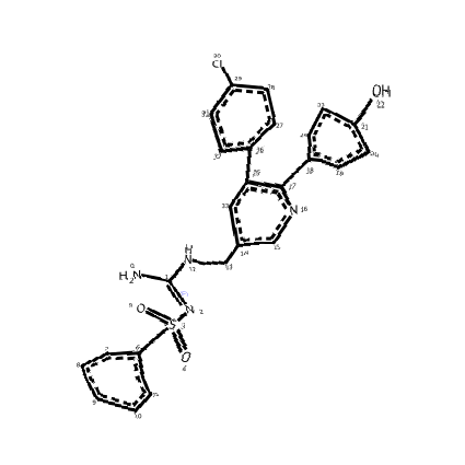 N/C(=N\S(=O)(=O)c1ccccc1)NCc1cnc(-c2ccc(O)cc2)c(-c2ccc(Cl)cc2)c1